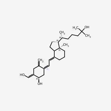 C=C1CC(=CO)[C@H](O)C/C1=C/C=C1CCC[C@@]2(C)C1CC[C@@H]2[C@H](C)CCCC(C)(C)O